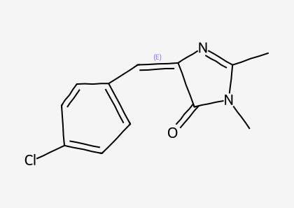 CC1=N/C(=C/c2ccc(Cl)cc2)C(=O)N1C